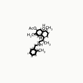 CC(=O)O[C@@H]1[C][C@@]2(O)[C@H](C)CC[C@@H]([C@H](C)CNCc3ccccc3C)[C@H]2C=C1C